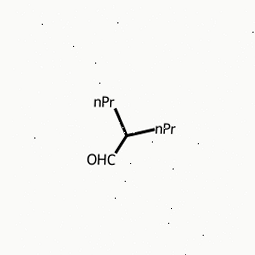 CCCC(C=O)CCC